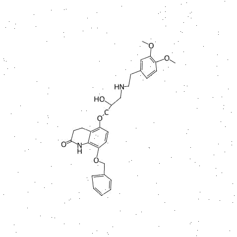 COc1ccc(CCNCC(O)COc2ccc(OCc3ccccc3)c3c2CCC(=O)N3)cc1OC